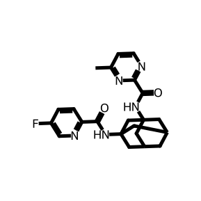 Cc1ccnc(C(=O)NC23CC4CC(CC(NC(=O)c5ccc(F)cn5)(C4)C2)C3)n1